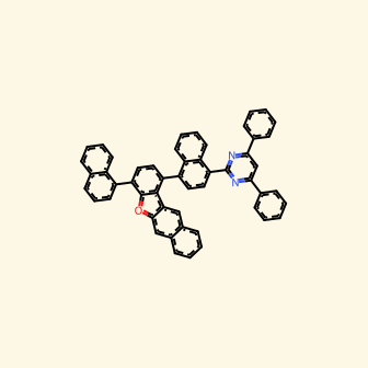 c1ccc(-c2cc(-c3ccccc3)nc(-c3ccc(-c4ccc(-c5cccc6ccccc56)c5oc6cc7ccccc7cc6c45)c4ccccc34)n2)cc1